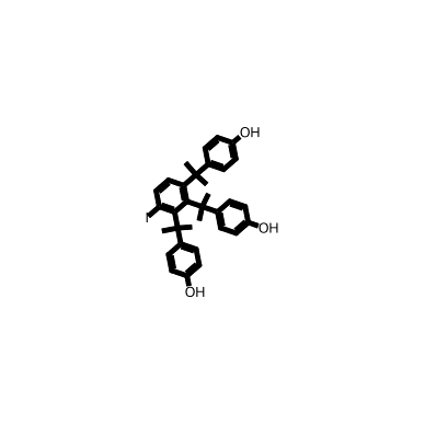 CC(C)(c1ccc(O)cc1)c1ccc(I)c(C(C)(C)c2ccc(O)cc2)c1C(C)(C)c1ccc(O)cc1